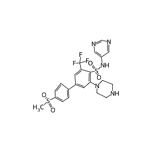 CS(=O)(=O)c1ccc(-c2cc(N3CCNCC3)c(S(=O)(=O)Nc3cncnc3)c(C(F)(F)F)c2)cc1